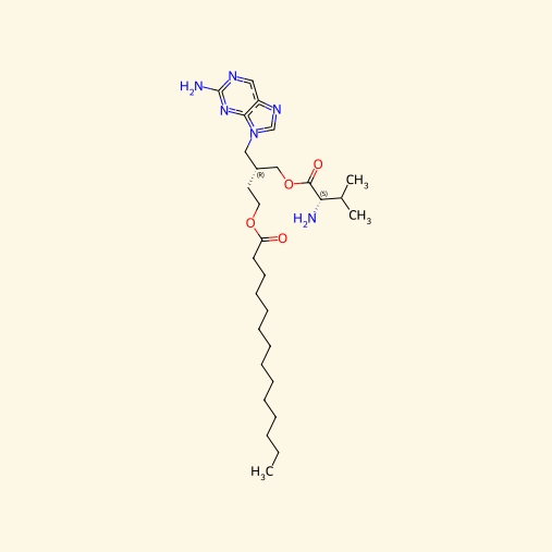 CCCCCCCCCCCCCC(=O)OCC[C@@H](COC(=O)[C@@H](N)C(C)C)Cn1cnc2cnc(N)nc21